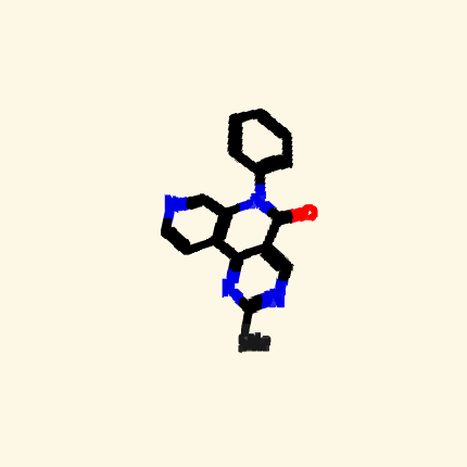 CSc1ncc2c(=O)n(-c3ccccc3)c3cnccc3c2n1